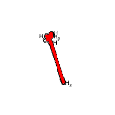 CCCCN1C(=CC=Cc2n(CCCCCC(=O)O)c3cc(Cl)c(Cl)cc3[n+]2CCCCCC(=O)NCCOCCOCCOCCOCCOCCOCCOCCOCCOCCOCCOCCOCCOCCOCCOCCOCCOCCOCCOCCOCCOCCOCCOCCOC)C(C)(C)c2cc(S(=O)(=O)O)ccc21